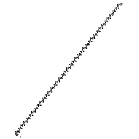 N=N/N=N/N=N/N=N/N=N/N=N/N=N/N=N/N=N/N=N/N=N/N=N/N=N/N=N/N=N/N=N/N=N/N=N/N=N/N=N/N=N/N=N/N=N/N=N/N=N/N=N/N=N/N=N/N=N/N=N/N=N/N=N/N=N/N=N/N=N/N=N/N=N/N=N/N=N/N